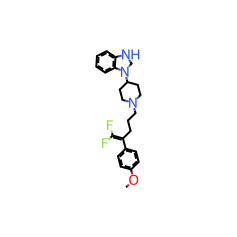 COc1ccc(C(CCCN2CCC(N3CNc4ccccc43)CC2)=C(F)F)cc1